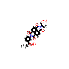 CCC(CO)N1C(=O)c2ccc3c4c(ccc(c24)C1=O)C(=O)N(c1cccc(C(C)O)c1)C3=O